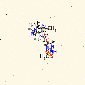 CCc1nc(NS(C)(=O)=O)ncc1OCC(=O)N1CCc2nc3n(c2C1c1sc(C)nc1C)CCCC3